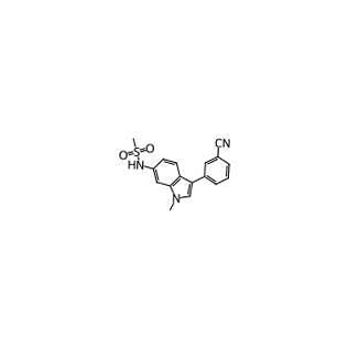 Cn1cc(-c2cccc(C#N)c2)c2ccc(NS(C)(=O)=O)cc21